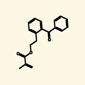 C=C(C)C(=O)OCCc1ccccc1C(=O)c1ccccc1